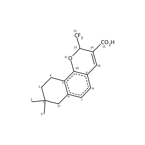 CC1(C)CCc2c(ccc3c2OC(C(F)(F)F)C(C(=O)O)=C3)C1